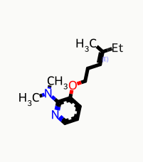 CC/C(C)=C/CCOc1cccnc1N(C)C